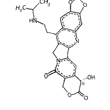 CC(C)NCCc1c2c(nc3cc4c(cc13)OCO4)-c1cc3c(c(=O)n1C2)COC(=O)[C@H]3O